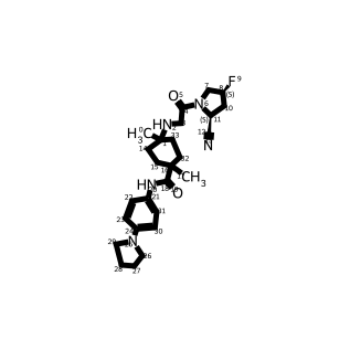 CC1(NCC(=O)N2C[C@@H](F)C[C@H]2C#N)CCC(C)(C(=O)Nc2ccc(N3CCCC3)cc2)CC1